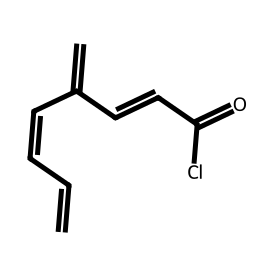 C=C/C=C\C(=C)/C=C/C(=O)Cl